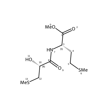 COC(=O)[C@H](CCSC)NC(=O)[C@@H](O)CSC